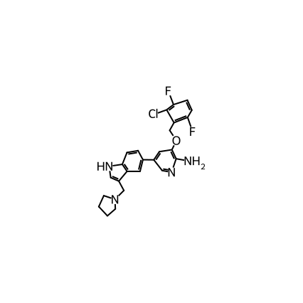 Nc1ncc(-c2ccc3[nH]cc(CN4CCCC4)c3c2)cc1OCc1c(F)ccc(F)c1Cl